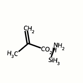 C=C(C)C(=O)O.N[SiH3]